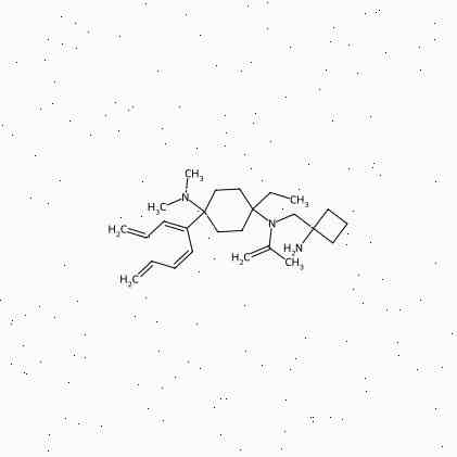 C=C/C=C\C(=C/C=C)C1(N(C)C)CCC(CC)(N(CC2(N)CCC2)C(=C)C)CC1